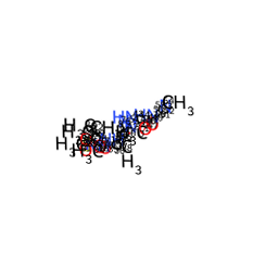 COc1cc(Nc2ncc3cc(-c4cc(C(=O)Nc5cc(C(C)(C)C)cc(NS(C)(=O)=O)c5OC)ccc4C)ccc3n2)ccc1C(=O)NCC1CCN(C)CC1